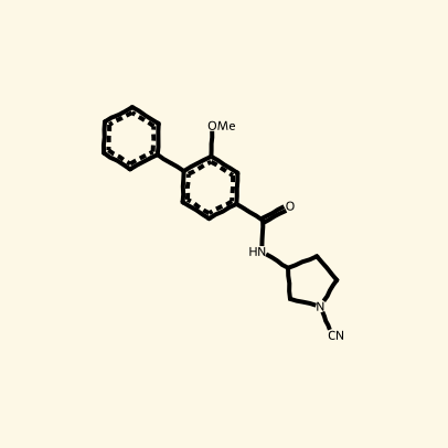 COc1cc(C(=O)NC2CCN(C#N)C2)ccc1-c1ccccc1